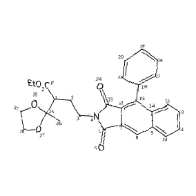 CCOC(=O)C(CCN1C(=O)c2cc3ccccc3c(-c3ccccc3)c2C1=O)C1(C)OCCO1